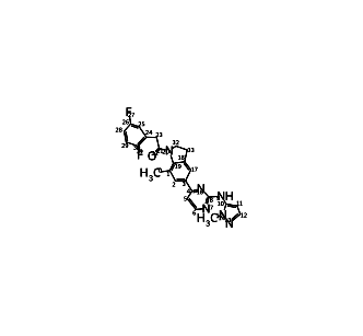 Cc1cc(-c2ccnc(Nc3ccnn3C)n2)cc2c1N(C(=O)Cc1cc(F)ccc1F)CC2